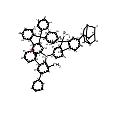 Cc1cc(-c2ccccc2)cc(-c2ccccc2)c1N(c1ccc2c(c1)C(C)(C)c1cc(C34CC5CC(CC(C5)C3)C4)ccc1-2)c1ccc2c(c1)C(c1ccccc1)(c1ccccc1)c1ccccc1-2